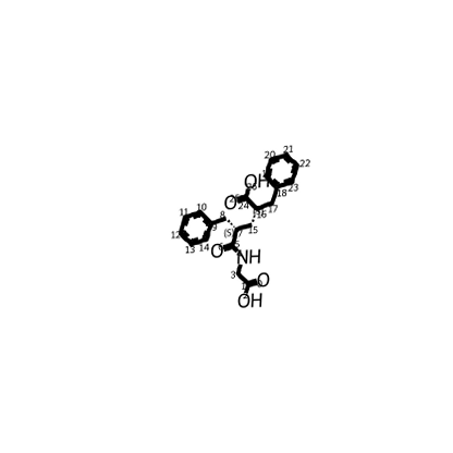 O=C(O)CNC(=O)[C@H](Cc1ccccc1)C[C@@H](Cc1ccccc1)C(=O)O